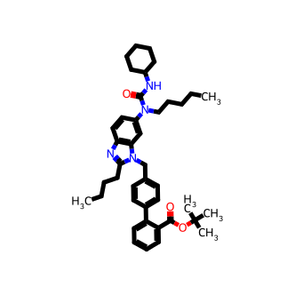 CCCCCN(C(=O)NC1CCCCC1)c1ccc2nc(CCCC)n(Cc3ccc(-c4ccccc4C(=O)OC(C)(C)C)cc3)c2c1